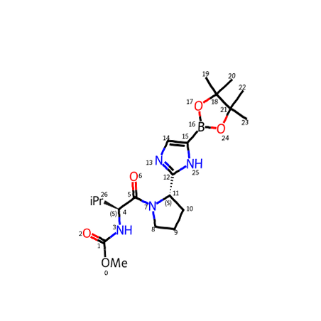 COC(=O)N[C@H](C(=O)N1CCC[C@H]1c1ncc(B2OC(C)(C)C(C)(C)O2)[nH]1)C(C)C